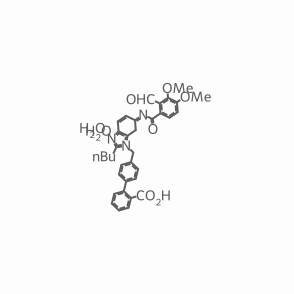 CCCCc1nc2c(n1Cc1ccc(-c3ccccc3C(=O)O)cc1)CC(=NC(=O)c1ccc(OC)c(OC)c1C=O)C=C2.O.O